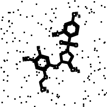 C=C1CN(S(=O)(=O)c2ccc(C(F)(F)F)cc2C#N)C[C@@H]1Oc1cc(F)c(C#N)cc1OCC(F)(F)F